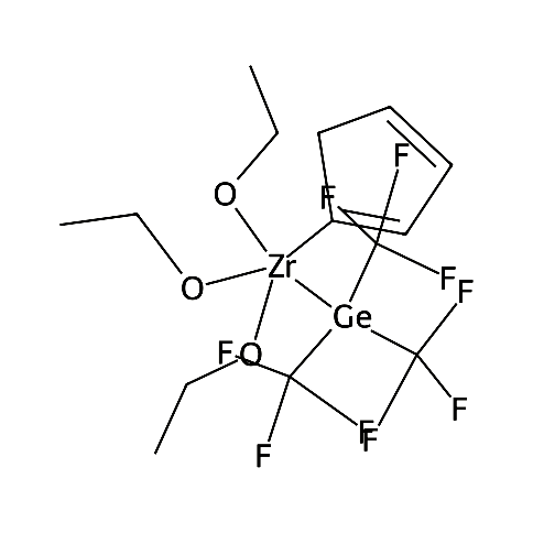 CC[O][Zr]([O]CC)([O]CC)([C]1=CC=CC1)[Ge]([C](F)(F)F)([C](F)(F)F)[C](F)(F)F